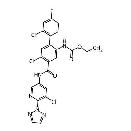 CCOC(=O)Nc1cc(C(=O)Nc2cnc(-n3nccn3)c(Cl)c2)c(Cl)cc1-c1ccc(F)cc1Cl